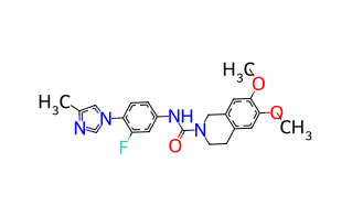 COc1cc2c(cc1OC)CN(C(=O)Nc1ccc(-n3cnc(C)c3)c(F)c1)CC2